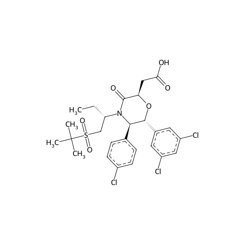 CC[C@@H](CS(=O)(=O)C(C)(C)C)N1C(=O)[C@@H](CC(=O)O)O[C@H](c2cc(Cl)cc(Cl)c2)[C@H]1c1ccc(Cl)cc1